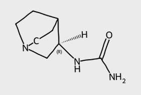 NC(=O)N[C@H]1CN2CCC1CC2